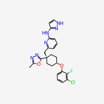 Cc1nnc([C@]2(Cc3cccc(Nc4cc[nH]n4)n3)CC[C@@H](Oc3cccc(Cl)c3F)CC2)o1